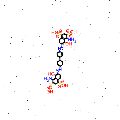 Nc1c(SOOO)cc(S(=O)(=O)O)c2ccc(N=Nc3ccc(-c4ccc(N=Nc5ccc6c(S(=O)(=O)O)cc(S(=O)(=O)O)c(N)c6c5O)cc4)cc3)c(O)c12